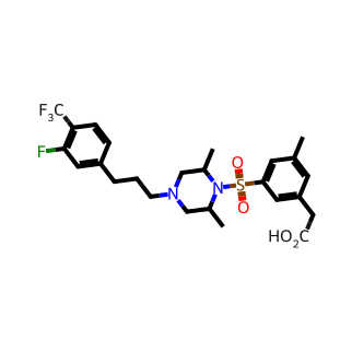 Cc1cc(CC(=O)O)cc(S(=O)(=O)N2C(C)CN(CCCc3ccc(C(F)(F)F)c(F)c3)CC2C)c1